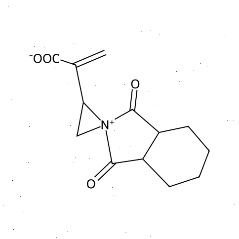 C=C(C(=O)[O-])C1C[N+]12C(=O)C1CCCCC1C2=O